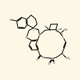 C[C@@H]1/C=C\C[C@H](O)[C@@H]2CC[C@H]2CN2C[C@@]3(CCCc4cc(Cl)ccc43)COc3ccc(cc32)C(=O)NS(=O)(=O)C1